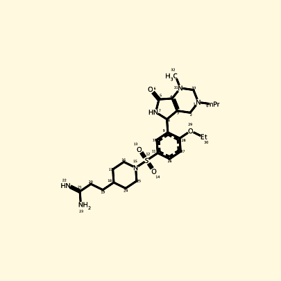 CCCN1CC2=C(C(=O)NC2c2cc(S(=O)(=O)N3CCC(CCC(=N)N)CC3)ccc2OCC)N(C)C1